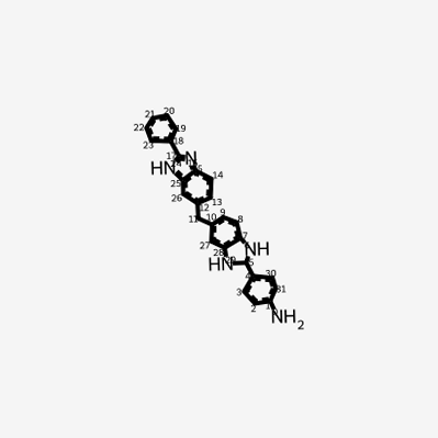 Nc1ccc(C2Nc3ccc(Cc4ccc5nc(-c6ccccc6)[nH]c5c4)cc3N2)cc1